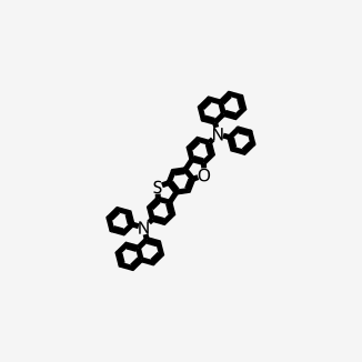 c1ccc(N(c2ccc3c(c2)oc2cc4c(cc23)sc2cc(N(c3ccccc3)c3cccc5ccccc35)ccc24)c2cccc3ccccc23)cc1